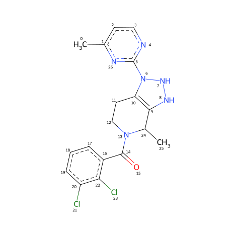 Cc1ccnc(N2NNC3=C2CCN(C(=O)c2cccc(Cl)c2Cl)C3C)n1